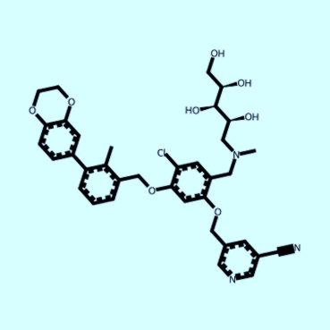 Cc1c(COc2cc(OCc3cncc(C#N)c3)c(CN(C)C[C@H](O)[C@@H](O)[C@H](O)CO)cc2Cl)cccc1-c1ccc2c(c1)OCCO2